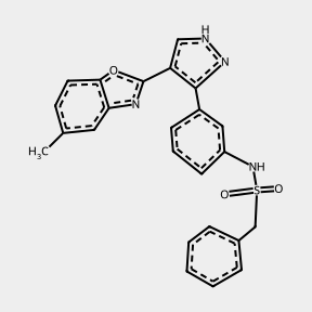 Cc1ccc2oc(-c3c[nH]nc3-c3cccc(NS(=O)(=O)Cc4ccccc4)c3)nc2c1